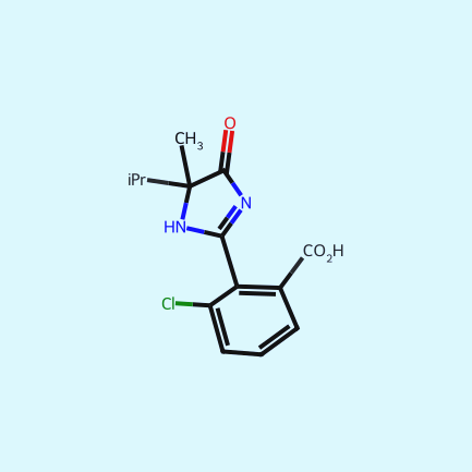 CC(C)C1(C)NC(c2c(Cl)cccc2C(=O)O)=NC1=O